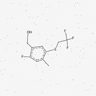 Cc1cc(F)c(CO)cc1SCC(F)(F)F